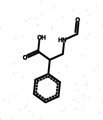 O=CNCC(C(=O)O)c1ccccc1